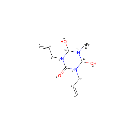 C=CCN1C(=O)N(CC=C)C(O)N(CCC)C1O